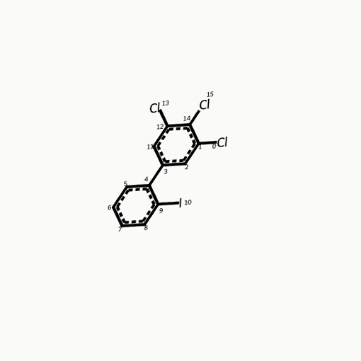 Clc1cc(-c2ccccc2I)cc(Cl)c1Cl